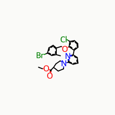 CCOC(=O)C1CCN(c2cccc(-c3cccc(Cl)c3OCc3ccc(Br)cc3C)n2)CC1